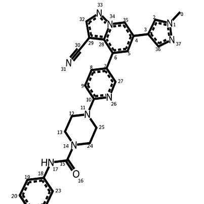 Cn1cc(-c2cc(-c3ccc(N4CCN(C(=O)Nc5ccccc5)CC4)nc3)c3c(C#N)cnn3c2)cn1